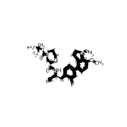 COc1ccc(-c2ccc(C[C@@H](C#N)NC(=O)[C@@H]3CN(C(=O)OC(C)(C)C)CCCO3)c(F)c2)c2ccn(C)c12